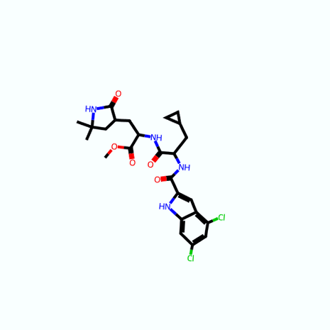 COC(=O)C(CC1CC(C)(C)NC1=O)NC(=O)C(CC1CC1)NC(=O)c1cc2c(Cl)cc(Cl)cc2[nH]1